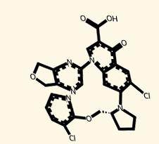 O=C(O)c1cn(-c2cnc3c(n2)COC3)c2cc(N3CCC[C@@H]3COc3ncccc3Cl)c(Cl)cc2c1=O